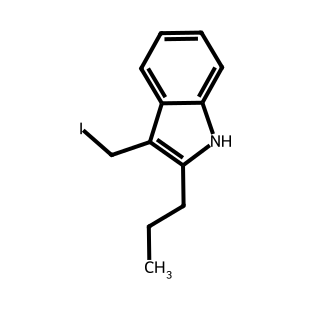 CCCc1[nH]c2ccccc2c1CI